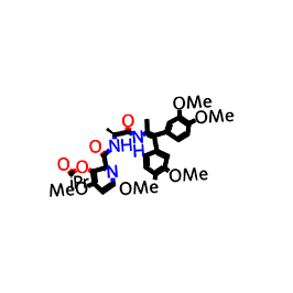 COc1ccc(C(=C(C)NC(=O)[C@H](C)NC(=O)c2nccc(OC)c2OC(=O)C(C)C)c2ccc(OC)c(OC)c2)cc1OC